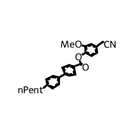 CCCCCc1ccc(-c2ccc(C(=O)Oc3ccc(CC#N)cc3OC)cc2)cc1